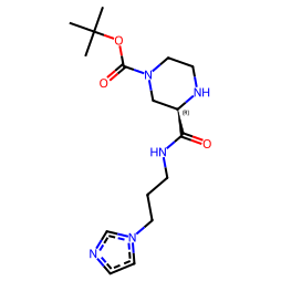 CC(C)(C)OC(=O)N1CCN[C@@H](C(=O)NCCCn2ccnc2)C1